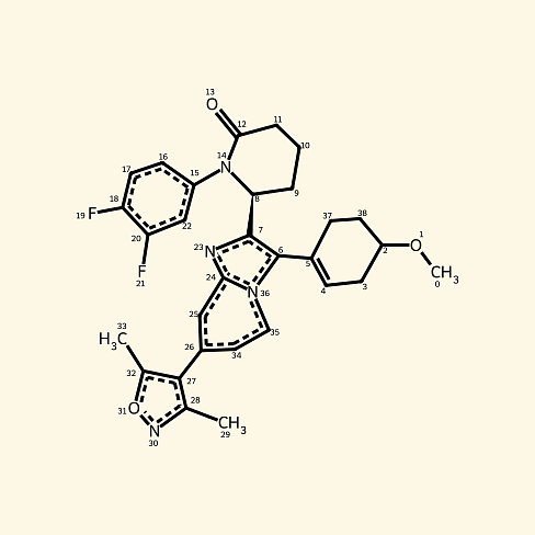 COC1CC=C(c2c([C@@H]3CCCC(=O)N3c3ccc(F)c(F)c3)nc3cc(-c4c(C)noc4C)ccn23)CC1